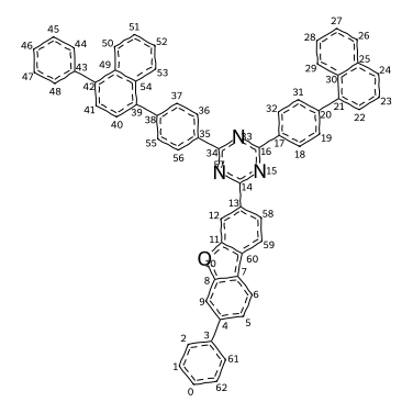 c1ccc(-c2ccc3c(c2)oc2cc(-c4nc(-c5ccc(-c6cccc7ccccc67)cc5)nc(-c5ccc(-c6ccc(-c7ccccc7)c7ccccc67)cc5)n4)ccc23)cc1